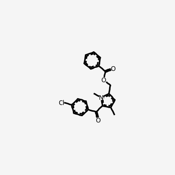 Cc1cc(COC(=O)c2ccccc2)n(C)c1C(=O)c1ccc(Cl)cc1